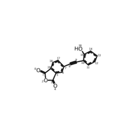 O=C1OC(=O)c2cc(C#Cc3ccccc3O)ccc21